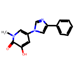 Cn1cc(-n2cnc(-c3ccccc3)c2)cc(O)c1=O